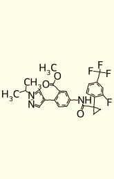 COC(=O)c1cc(NC(=O)C2(c3ccc(C(F)(F)F)cc3F)CC2)ccc1-c1cnn(C(C)C)c1